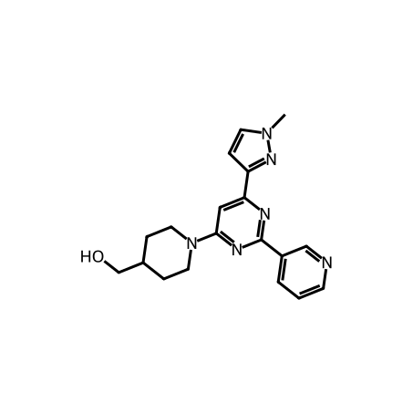 Cn1ccc(-c2cc(N3CCC(CO)CC3)nc(-c3cccnc3)n2)n1